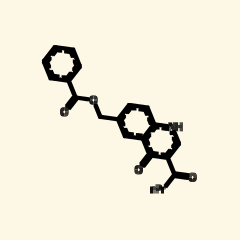 CCCC(=O)c1c[nH]c2ccc(COC(=O)c3ccccc3)cc2c1=O